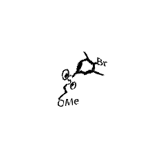 COCCCS(=O)(=O)c1cc(C)c(Br)c(C)c1